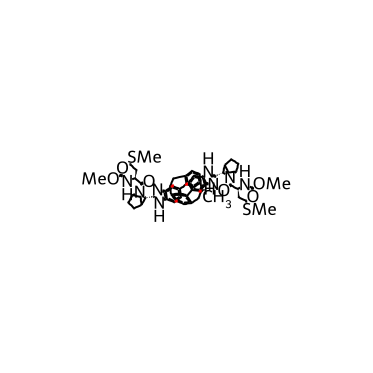 COC(=O)N[C@@H](CCSC)C(=O)N1C2CCC(C2)[C@H]1c1nc2cc(-c3cc4ccc3CCc3ccc(c(-c5ccc6[nH]c([C@@H]7C8CCC(C8)N7C(=O)[C@H](CCSC)NC(=O)OC)nc6c5)c3)C[C@H]4C)ccc2[nH]1